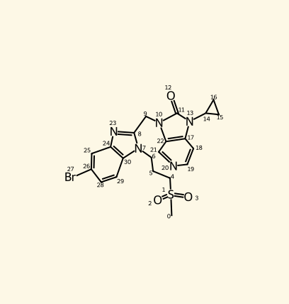 CS(=O)(=O)CCCn1c(Cn2c(=O)n(C3CC3)c3ccncc32)nc2cc(Br)ccc21